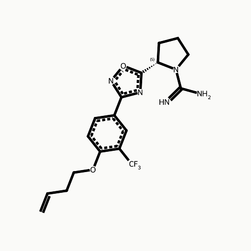 C=CCCOc1ccc(-c2noc([C@@H]3CCCN3C(=N)N)n2)cc1C(F)(F)F